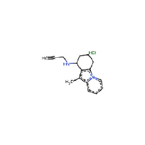 C#CCNC1CCCc2c1c(C)c1ccccn21.Cl